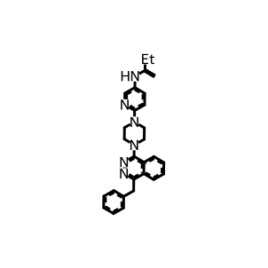 C=C(CC)Nc1ccc(N2CCN(c3nnc(Cc4ccccc4)c4ccccc34)CC2)nc1